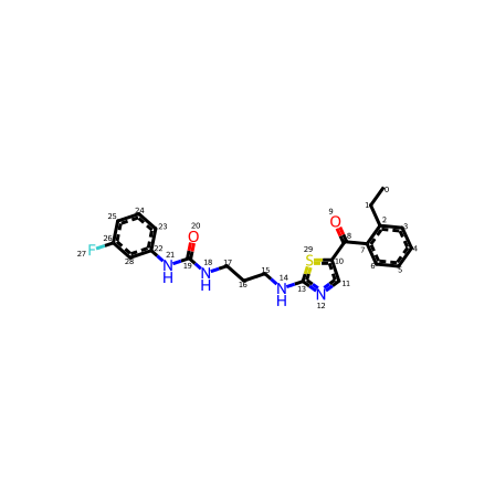 CCc1ccccc1C(=O)c1cnc(NCCCNC(=O)Nc2cccc(F)c2)s1